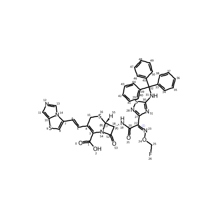 O=C(O)C1=C(C=Cc2csc3cncn23)CS[C@@H]2[C@H](NC(=O)/C(=N\OCF)c3nsc(NC(c4ccccc4)(c4ccccc4)c4ccccc4)n3)C(=O)N12